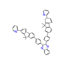 CC1(C)C2=C(C=CC(c3ccccn3)C2)c2ccc(-c3ccc(-c4nc5ccccc5nc4-c4ccc(-c5ccc6c(c5)C(C)(C)c5cc(-c7ccccn7)ccc5-6)cc4)cc3)cc21